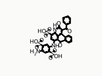 Nc1cc(S(=O)(=O)O)c(Nc2cc(S(=O)(=O)O)c3[nH]c(=O)c(C(=O)c4ccccc4)c4c3c2C(=O)c2ccccc2-4)cc1S(=O)(=O)O